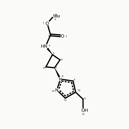 CC(C)(C)OC(=O)N[C@H]1C[C@@H](n2cc(CO)cn2)C1